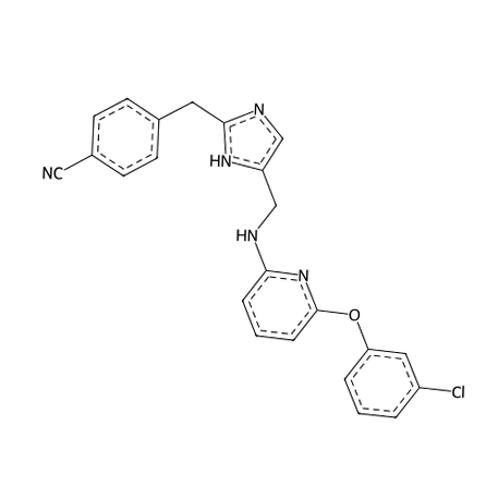 N#Cc1ccc(Cc2ncc(CNc3cccc(Oc4cccc(Cl)c4)n3)[nH]2)cc1